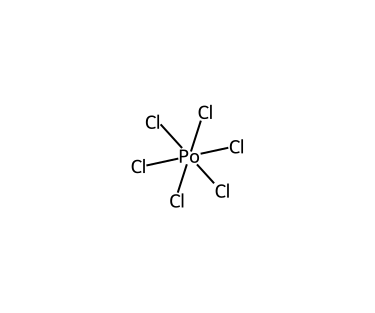 [Cl][Po]([Cl])([Cl])([Cl])([Cl])[Cl]